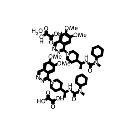 COc1cc2cnnc(N3CCC(C(C)NC(=O)N(C)C4CCCCC4)CC3)c2cc1OC.COc1cc2cnnc(N3CCC(C(C)NC(=O)N(C)C4CCCCC4)CC3)c2cc1OC.O.O=C(O)C(=O)O.O=C(O)C(=O)O